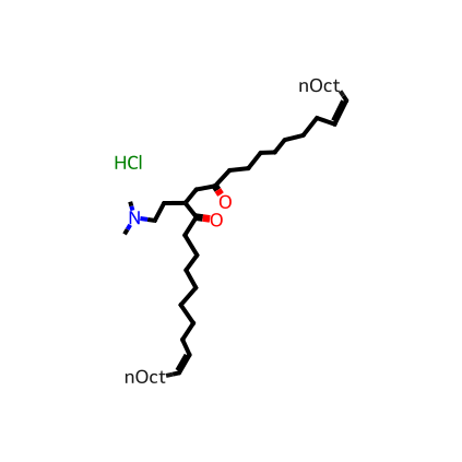 CCCCCCCC/C=C\CCCCCCCC(=O)CC(CCN(C)C)C(=O)CCCCCCC/C=C\CCCCCCCC.Cl